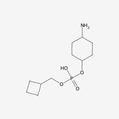 NC1CCC(OP(=O)(O)OCC2CCC2)CC1